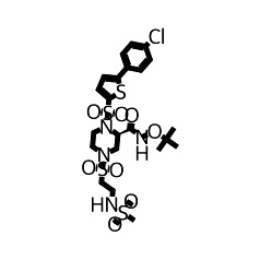 CC(C)(C)ONC(=O)[C@H]1CN(S(=O)(=O)CCNS(C)(=O)=O)CCN1S(=O)(=O)c1ccc(-c2ccc(Cl)cc2)s1